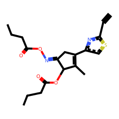 C#Cc1nc(C2=C(C)C(OC(=O)CCC)/C(=N/OC(=O)CCC)C2)cs1